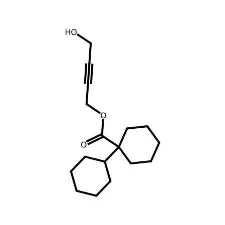 O=C(OCC#CCO)C1(C2CCCCC2)CCCCC1